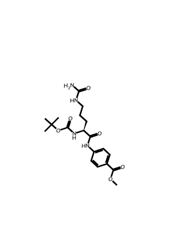 COC(=O)c1ccc(NC(=O)[C@H](CCCNC(N)=O)NC(=O)OC(C)(C)C)cc1